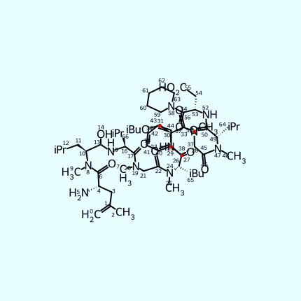 C=C(C)C[C@H](N)C(=O)N(C)[C@@H](CC(C)C)C(O)N[C@H](C(=O)N(C)CC(=O)N(C)[C@H](C(=O)N[C@@H](COCC(C)C)C(=O)N(C)[C@@H](Cc1ccccc1)C(=O)N(C)[C@H](C(=O)N[C@@H](CC(=O)O)C(=O)N1CCCCC1)C(C)C)[C@@H](C)CC)C(C)C